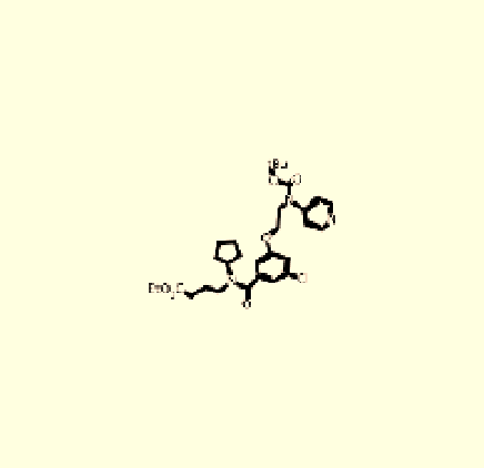 CCOC(=O)CCCN(C(=O)c1cc(Cl)cc(OCCN(C(=O)OC(C)(C)C)c2ccncc2)c1)C1CCCC1